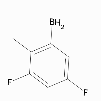 Bc1cc(F)cc(F)c1C